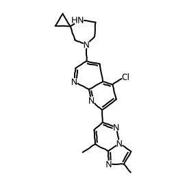 Cc1cn2nc(-c3cc(Cl)c4cc(N5CCNC6(CC6)C5)cnc4n3)cc(C)c2n1